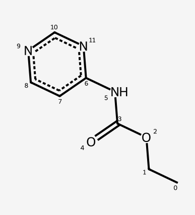 CCOC(=O)Nc1ccncn1